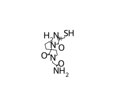 NC(=O)CN1CCC2(CCCN2C(=O)[C@@H](N)CS)C1=O